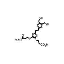 COC(=O)CCSC1=C(SCCC(=O)O)SC(=CC=C2SC(CS)=C(CS)S2)S1